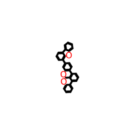 O=c1oc2ccccc2c2cccc(-c3ccc(-c4cccc5c4oc4ccccc45)cc3)c12